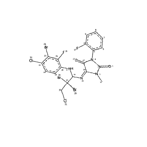 CN1C(=O)N(c2ccccc2F)C(=O)C1=NC(Nc1ccc(Cl)c(Br)c1F)C(Br)(Br)CCl